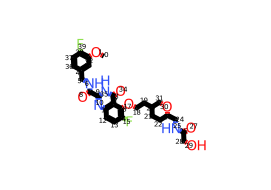 COc1cc(CNC(=O)c2nc3ccc(F)c(OCCC4CCC(CNC(=O)CO)OC4)c3c(=O)[nH]2)ccc1F